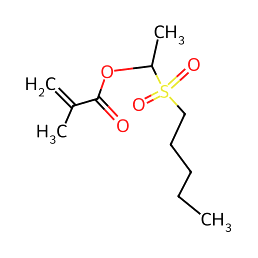 C=C(C)C(=O)OC(C)S(=O)(=O)CCCCC